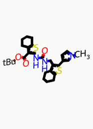 Cn1ccc(-c2sc3c(c2CNC(=O)Nc2sc4c(c2C(=O)OC(C)(C)C)CCCC4)CCCC3)c1